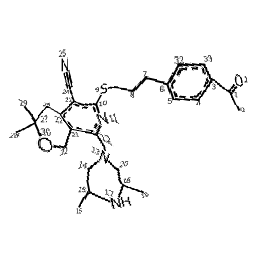 CC(=O)c1ccc(CCSc2nc(N3CC(C)NC(C)C3)c3c(c2C#N)CC(C)(C)OC3)cc1